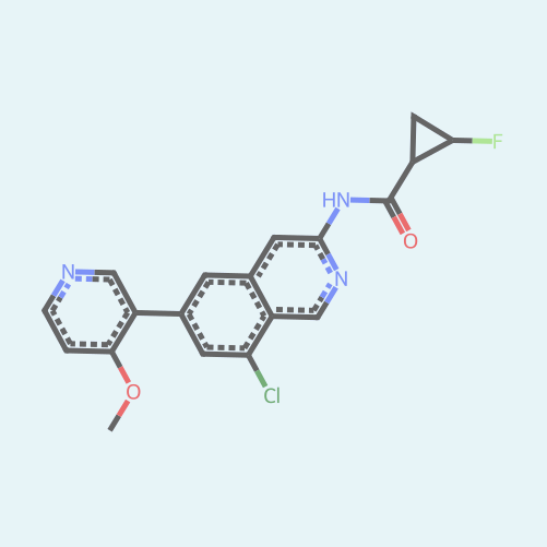 COc1ccncc1-c1cc(Cl)c2cnc(NC(=O)C3CC3F)cc2c1